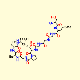 CCC(C)C(NC(=O)CNC(=O)C1CCCN1C(=O)C(CO)NC(=O)CNC(=O)CNC(=O)CNC(=O)C(CCSC)NC(=O)C(N)CO)C(=O)NC(CC(C)C)C(=O)NC(C)C(=O)O